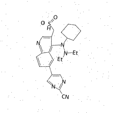 CCN(CC)N(c1c(C[SH](=O)=O)cnc2ccc(-c3cnc(C#N)nc3)cc12)C1CCCCC1